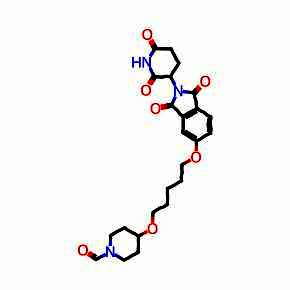 O=CN1CCC(OCCCCCOc2ccc3c(c2)C(=O)N(C2CCC(=O)NC2=O)C3=O)CC1